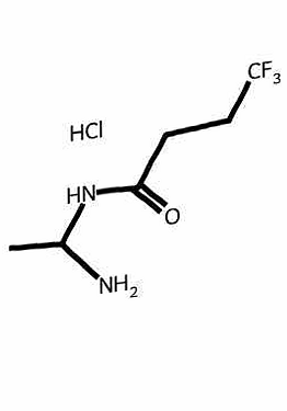 CC(N)NC(=O)CCC(F)(F)F.Cl